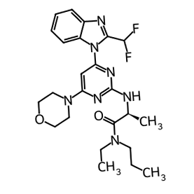 CCCN(CC)C(=O)[C@H](C)Nc1nc(N2CCOCC2)cc(-n2c(C(F)F)nc3ccccc32)n1